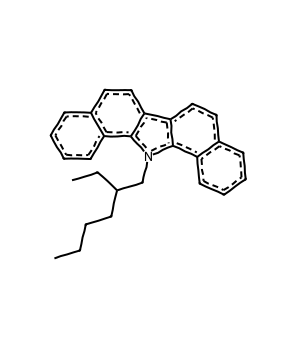 CCCCC(CC)Cn1c2c3ccccc3ccc2c2ccc3ccccc3c21